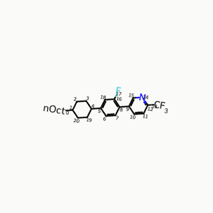 CCCCCCCCC1CCC(c2ccc(-c3ccc(C(F)(F)F)nc3)c(F)c2)CC1